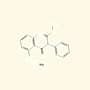 CCCOC(=O)C(C(=O)c1c(C)cccc1Cl)c1ccccc1.O=[PH3]